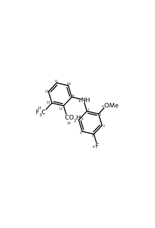 COc1cc(F)ccc1Nc1cccc(C(F)(F)F)c1C(=O)O